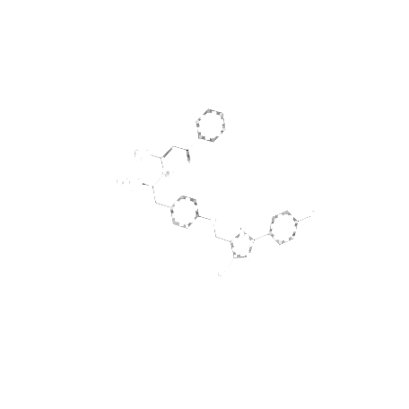 CCc1oc(-c2ccc(F)cc2)nc1COc1ccc(C[C@H](N/C(=C\C(=O)c2ccccc2)C(F)(F)F)C(=O)O)cc1